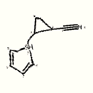 N#CC1CC1[SH]1C=CC=C1